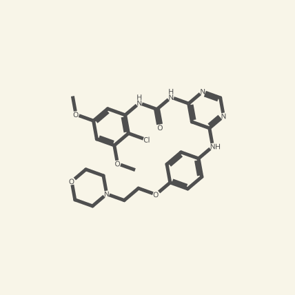 COc1cc(NC(=O)Nc2cc(Nc3ccc(OCCN4CCOCC4)cc3)ncn2)c(Cl)c(OC)c1